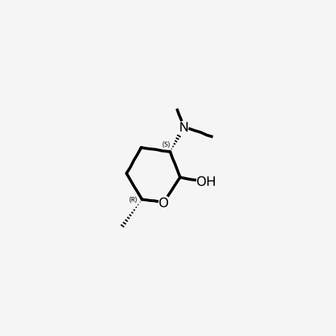 C[C@@H]1CC[C@H](N(C)C)C(O)O1